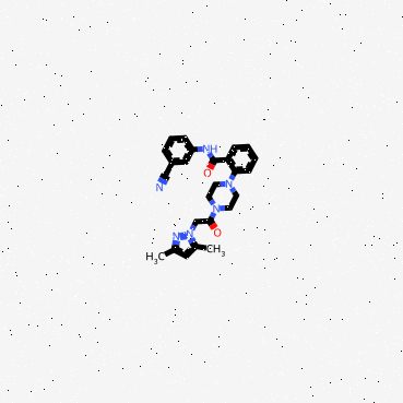 Cc1cc(C)n(CC(=O)N2CCN(c3ccccc3C(=O)Nc3cccc(C#N)c3)CC2)n1